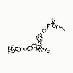 CCOC(=O)C1CC1COCCN1CCN(c2nc(N)nc3c2CCc2cc(OCc4ccc(OC(F)(F)F)cc4)ccc2-3)CC1